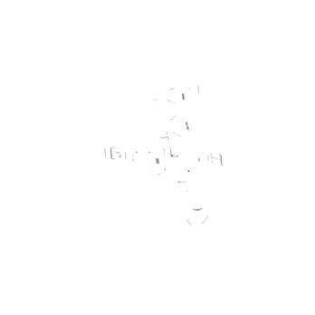 CC(C)(C)OC(=O)N[C@H](Cc1ccc(-c2cc(Cl)ccc2F)cc1)C[C@@](C)(CO)C(=O)OCc1ccccc1